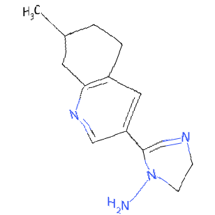 CC1CCc2cc(C3=NCCN3N)cnc2C1